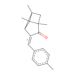 Cc1ccc(/C=C2\C(=O)C3(C)CC4(C)C2C34C)cc1